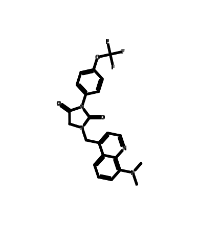 CN(C)c1cccc2c(CN3CC(=O)N(c4ccc(OC(F)(F)F)cc4)C3=O)ccnc12